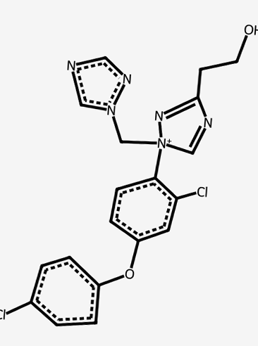 OCCC1=N[N+](Cn2cncn2)(c2ccc(Oc3ccc(Cl)cc3)cc2Cl)C=N1